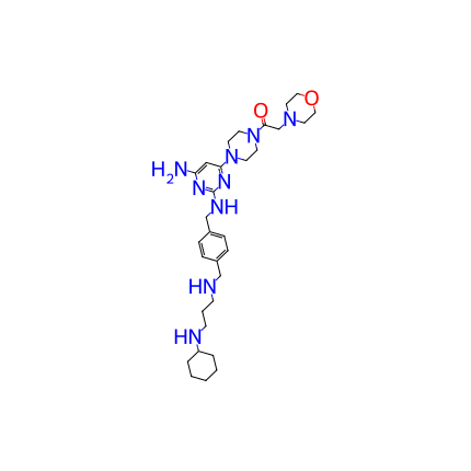 Nc1cc(N2CCN(C(=O)CN3CCOCC3)CC2)nc(NCc2ccc(CNCCCNC3CCCCC3)cc2)n1